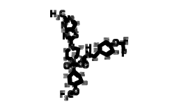 Cc1ncc2sc(N3CCN(S(=O)(=O)c4ccc(OC(F)(F)F)cc4)[C@@H](C(=O)NCc4ccc(OC(F)F)cc4)C3)nc2n1